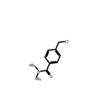 CCCCN(CCCC)C(=O)c1ccc(CCl)cc1